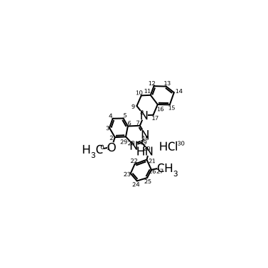 COc1cccc2c(N3CCc4ccccc4C3)nc(Nc3ccccc3C)nc12.Cl